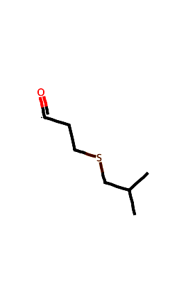 CC(C)CSCC[C]=O